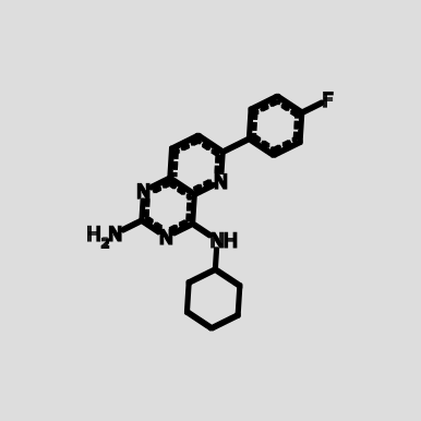 Nc1nc(NC2CCCCC2)c2nc(-c3ccc(F)cc3)ccc2n1